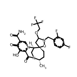 C[C@H]1CC[C@]2(CC(OCC(F)(F)F)N(Cc3ccc(F)cc3F)O2)[C@H]2CN1C(=O)c1c(O)c(=O)c(C(N)=O)cn12